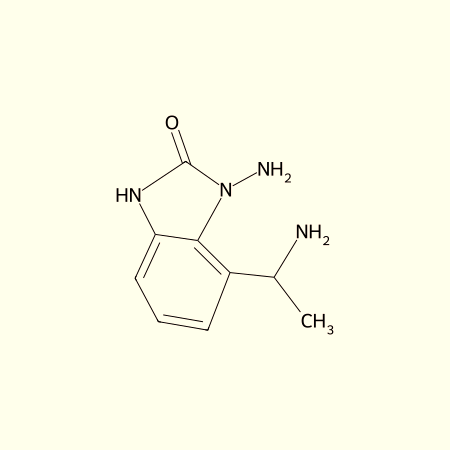 CC(N)c1cccc2[nH]c(=O)n(N)c12